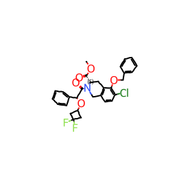 COC(=O)[C@@H]1Cc2c(ccc(Cl)c2OCc2ccccc2)CN1C(=O)C(OC1CC(F)(F)C1)c1ccccc1